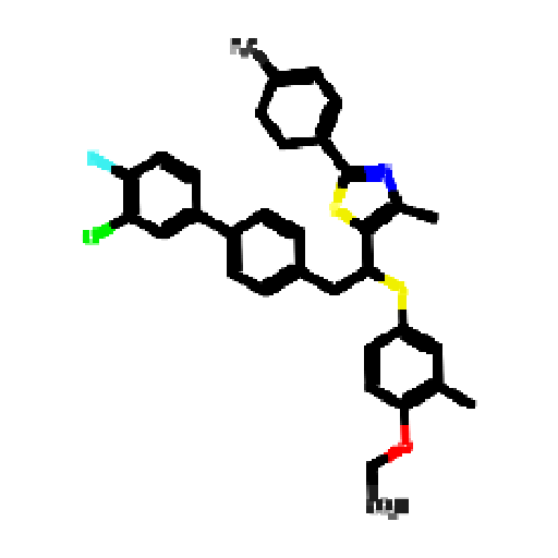 Cc1cc(SC(Cc2ccc(-c3ccc(F)c(Cl)c3)cc2)c2sc(C3=CC=C(C(F)(F)F)CC3)nc2C)ccc1OCC(=O)O